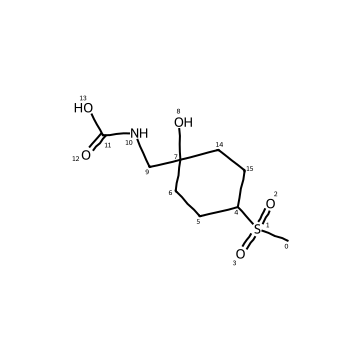 CS(=O)(=O)C1CCC(O)(CNC(=O)O)CC1